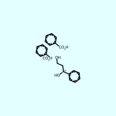 O=C(O)c1ccccc1.O=C(O)c1ccccc1.OCC[C@H](O)c1ccccc1